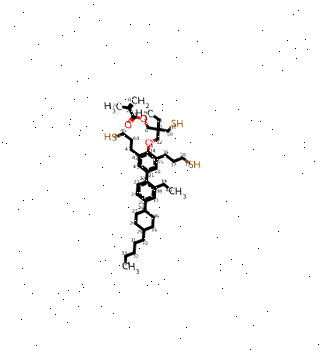 C=C(C)C(=O)OCC(CC)(CS)COc1c(CCCS)cc(-c2ccc(C3CCC(CCCCC)CC3)cc2CC)cc1CCCS